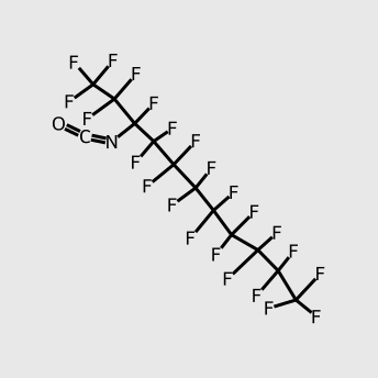 O=C=NC(F)(C(F)(F)C(F)(F)F)C(F)(F)C(F)(F)C(F)(F)C(F)(F)C(F)(F)C(F)(F)C(F)(F)C(F)(F)F